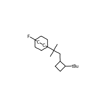 CC(C)(C)C1CCC1CC(C)(C)C12CCC(F)(CC1)CC2